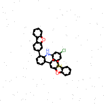 Sc1cc(Cl)cc(Nc2c(-c3ccc4c(c3)oc3ccccc34)cccc2-c2ccc3c(c2)oc2ccccc23)c1